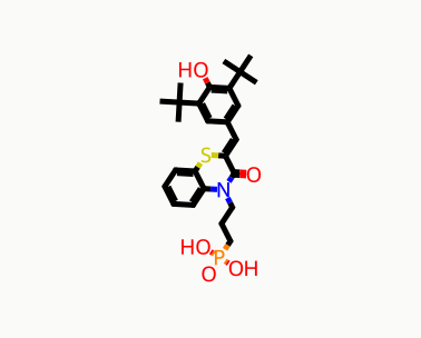 CC(C)(C)c1cc(C=C2Sc3ccccc3N(CCCP(=O)(O)O)C2=O)cc(C(C)(C)C)c1O